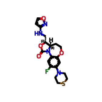 O=C1O[C@H](CNc2ccon2)[C@H]2CCOc3cc(N4CCSCC4)c(F)cc3N12